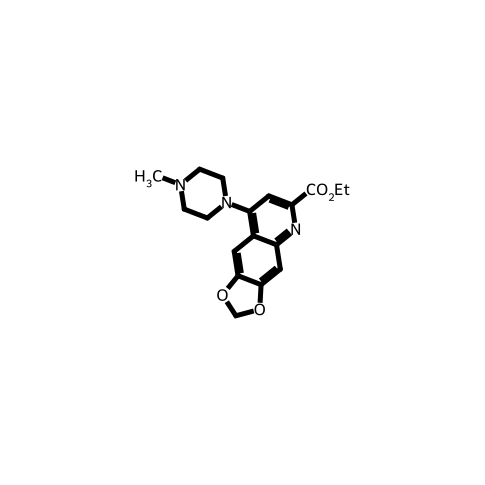 CCOC(=O)c1cc(N2CCN(C)CC2)c2cc3c(cc2n1)OCO3